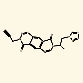 C#CCn1nnc2cc3c(=O)n([C@H](C)Cn4cnnn4)cnc3cc2c1=O